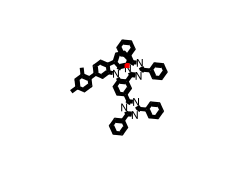 Cc1ccc(-c2ccc3c4ccccc4n(-c4ccc(-c5nc(-c6ccccc6)nc(-c6ccccc6)n5)cc4-c4nc(-c5ccccc5)nc(-c5ccccc5)n4)c3c2)c(C)c1